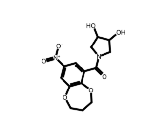 O=C(c1cc([N+](=O)[O-])cc2c1OCCCO2)N1CC(O)C(O)C1